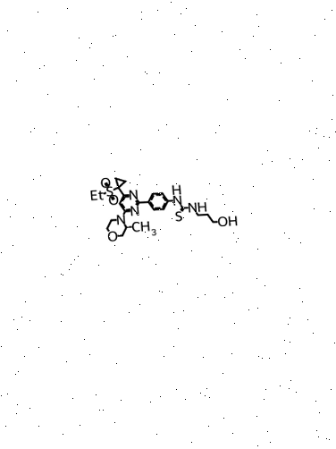 CCS(=O)(=O)C1(c2cc(N3CCOC[C@@H]3C)nc(-c3ccc(NC(=S)NCCCO)cc3)n2)CC1